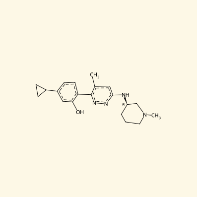 Cc1cc(N[C@@H]2CCCN(C)C2)nnc1-c1ccc(C2CC2)cc1O